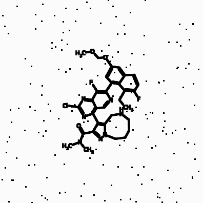 CCc1c(F)ccc2cc(OCOC)cc(-c3ncc4c(-c5c(C(=O)N(C)C)nn6c5CNCCCC6)nc(Cl)nc4c3F)c12